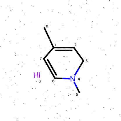 CC1=CCN(C)C=C1.I